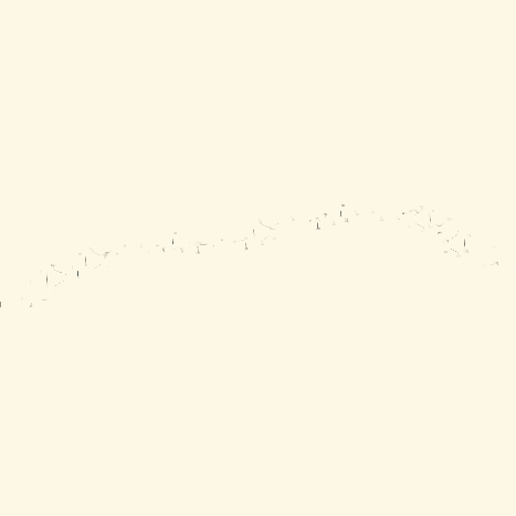 CC1CCC(c2ccc(OC(=O)c3ccc(OCCCCCCOC(=O)CCC(=O)OCCCOC(=O)c4ccc(OCCCOC(=O)CCC(=O)OCCCCCCOc5ccc(C(=O)Oc6ccc(C7CCC(C)CC7)cc6)cc5)cc4)cc3)cc2)CC1